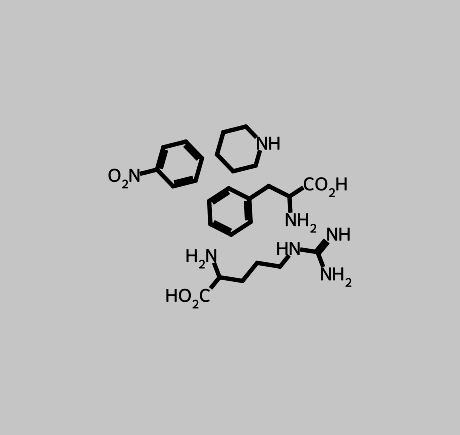 C1CCNCC1.N=C(N)NCCCC(N)C(=O)O.NC(Cc1ccccc1)C(=O)O.O=[N+]([O-])c1ccccc1